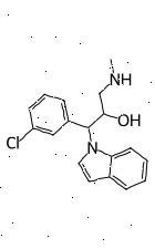 CNCC(O)C(c1cccc(Cl)c1)n1ccc2ccccc21